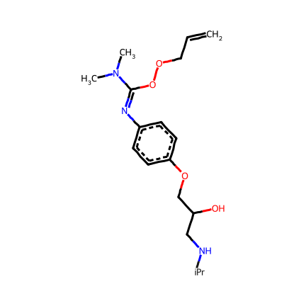 C=CCOOC(=Nc1ccc(OCC(O)CNC(C)C)cc1)N(C)C